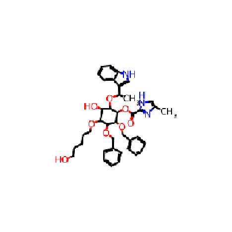 Cc1c[nH]c(C(=O)OC2C(OC(C)c3c[nH]c4ccccc34)C(O)C(OCCCCCO)C(OCc3ccccc3)C2OCc2ccccc2)n1